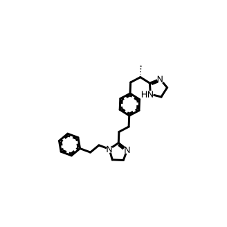 C[C@@H](Cc1ccc(CCC2=NCCN2CCc2ccccc2)cc1)C1=NCCN1